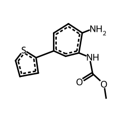 COC(=O)Nc1cc(-c2cccs2)ccc1N